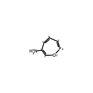 NC1=COP=CC=C1